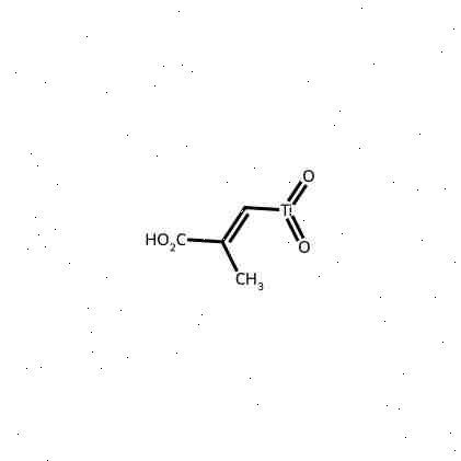 CC(=[CH][Ti](=[O])=[O])C(=O)O